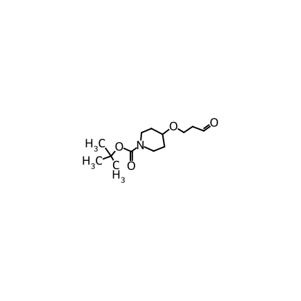 CC(C)(C)OC(=O)N1CCC(OCCC=O)CC1